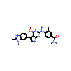 COc1nc(Nc2ccc(C(=O)N(C)C)cc2C)nc2[nH]cc(-c3ccc4nc(C)n(C)c4c3)c12